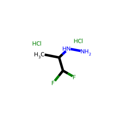 CC(NN)C(F)F.Cl.Cl